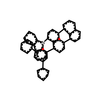 c1ccc(-c2cc(-c3ccc(-c4cccc5cccc(-c6ccc(-n7c8ccccc8c8ccccc87)cc6)c45)cc3)nc(-c3ccccc3)n2)cc1